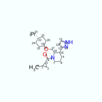 CC1CC1C(=O)N1CCCC(c2cc[nH]n2)C1CO[C@H]1CC[C@@H](C(C)C)CC1